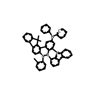 Cc1ccccc1N1B2c3c(cc(N(c4ccccc4)c4ccccc4)cc3-n3c4ccccc4c4cccc2c43)-c2c1ccc1c2C(C)(C)c2ccccc2-1